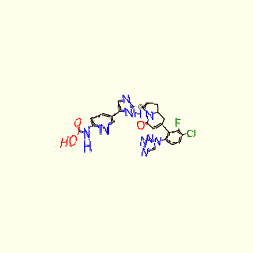 O=C(O)Nc1ccc(-c2cnc([C@@H]3CCC4CC(c5c(-n6cnnn6)ccc(Cl)c5F)=CC(=O)N43)[nH]2)cn1